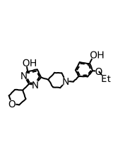 CCOc1cc(CN2CCC(c3cc(O)nc(C4CCOCC4)n3)CC2)ccc1O